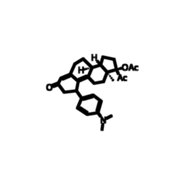 CC(=O)O[C@]1(C(C)=O)CC[C@H]2[C@@H]3CCC4=CC(=O)CC(c5ccc(N(C)C)cc5)C4=C3CC[C@@]21C